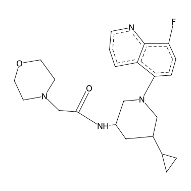 O=C(CN1CCOCC1)NC1CC(C2CC2)CN(c2ccc(F)c3ncccc23)C1